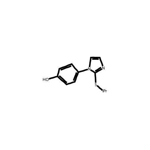 CC(C)Sc1nccn1-c1ccc(O)cc1